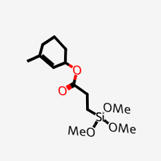 CO[Si](CCC(=O)OC1C=C(C)CCC1)(OC)OC